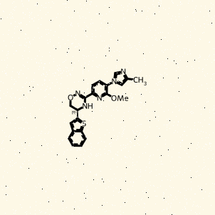 COc1nc(C2=NOC[C@H](c3cc4ccccc4s3)N2)ccc1-n1cnc(C)c1